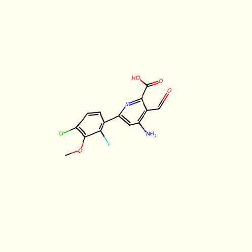 COc1c(Cl)ccc(-c2cc(N)c(C=O)c(C(=O)O)n2)c1F